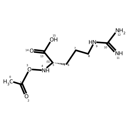 CC(=O)ON[C@@H](CCCNC(=N)N)C(=O)O